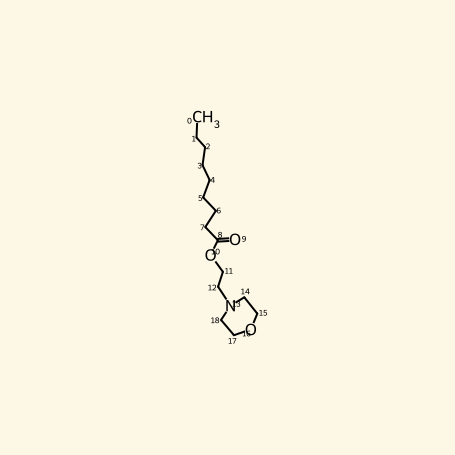 CCCCCCCCC(=O)OCCN1CCOCC1